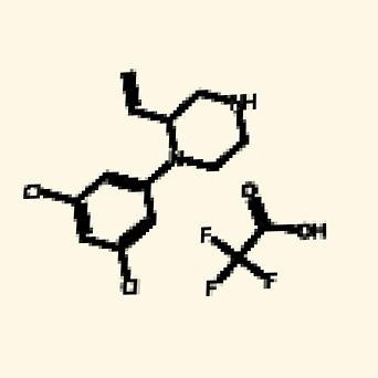 C=CC1CNCCN1c1cc(Cl)cc(Cl)c1.O=C(O)C(F)(F)F